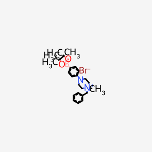 CC1(C)OB(c2ccc(N3CC[N+](C)(Cc4ccccc4)CC3)cc2)OC1(C)C.[Br-]